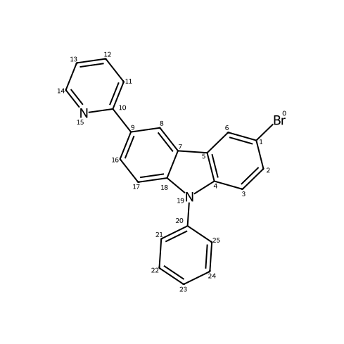 Brc1ccc2c(c1)c1cc(-c3ccccn3)ccc1n2-c1ccccc1